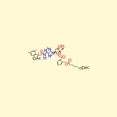 C#C[C@]1(COC(=O)c2ccccc2COC(=O)CCCCCCCCCCCCCCC)O[C@@H](n2cnc3c(NC(=O)CC(C)(C)c4c(C)cc(C)cc4OC(C)=O)nc(C)nc32)C[C@@H]1O